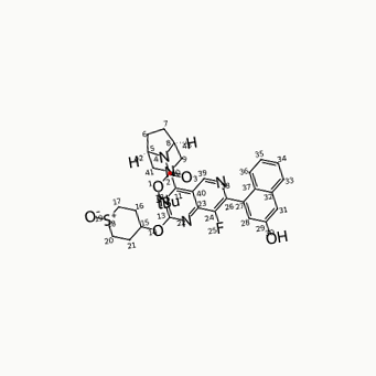 CC(C)(C)OC(=O)N1[C@@H]2CC[C@H]1CN(c1nc(OC3CC[S+]([O-])CC3)nc3c(F)c(-c4cc(O)cc5ccccc45)ncc13)C2